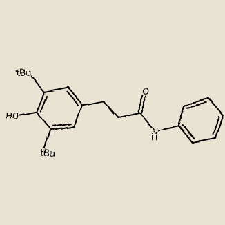 CC(C)(C)c1cc(CCC(=O)Nc2ccccc2)cc(C(C)(C)C)c1O